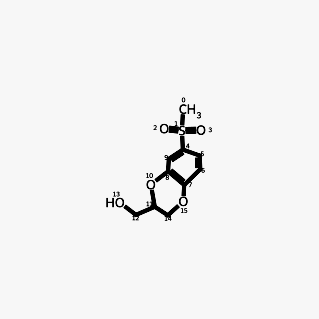 CS(=O)(=O)c1ccc2c(c1)OC(CO)CO2